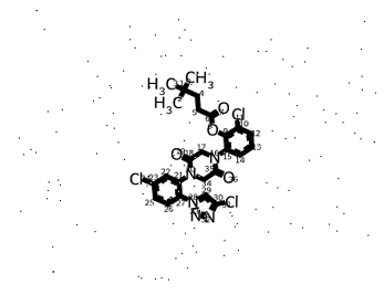 CC(C)(C)CCC(=O)Oc1c(Cl)cccc1N1CC(=O)N(c2cc(Cl)ccc2-n2cc(Cl)nn2)CC1=O